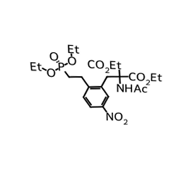 CCOC(=O)C(Cc1cc([N+](=O)[O-])ccc1CCP(=O)(OCC)OCC)(NC(C)=O)C(=O)OCC